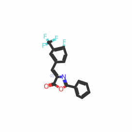 O=C1OC(c2ccccc2)=N/C1=C\c1ccc(F)c(C(F)(F)F)c1